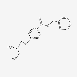 CC(CN)COc1ccc(C(=O)OCc2ccccc2)cc1